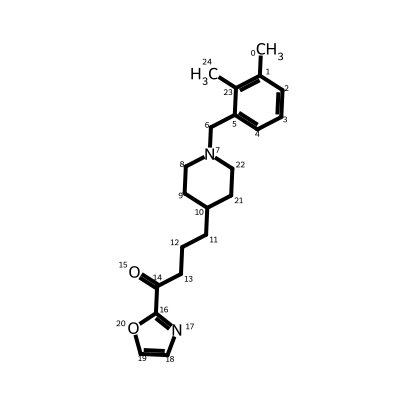 Cc1cccc(CN2CCC(CCCC(=O)c3ncco3)CC2)c1C